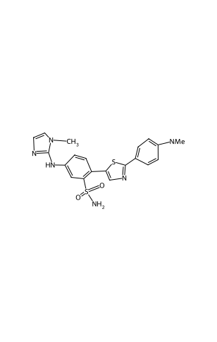 CNc1ccc(-c2ncc(-c3ccc(Nc4nccn4C)cc3S(N)(=O)=O)s2)cc1